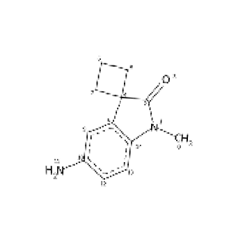 CN1C(=O)C2(CCC2)c2cc(N)ccc21